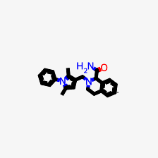 Cc1cc(CN2CCc3c[c]ccc3C2C(N)=O)c(C)n1-c1ccccc1